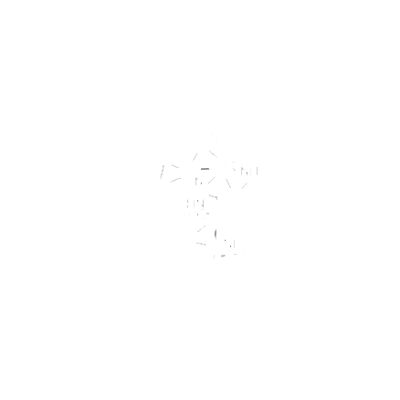 CC(C)c1ccc(Cn2c(C(=O)NS(=O)(=O)c3cccc(NS(C)(=O)=O)c3)c(-c3ccc[nH]c3=O)c3cc(Cl)ccc32)cc1